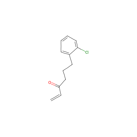 C=CC(=O)CCCc1ccccc1Cl